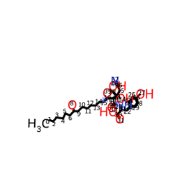 CCCCCCCC(=O)CCCCCC/C=C/[C@H](C(=O)N[C@@H](Cc1ccc(O)cc1)C(=O)O)[C@@](O)(CC#N)C(=O)O